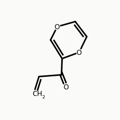 C=CC(=O)C1=COC=CO1